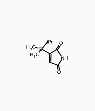 CC(C)[Si](C)(C)C1=CC(=O)NC1=O